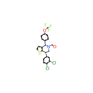 O=CN1CC(c2ccc(Cl)c(Cl)c2)c2sccc2C1c1ccc(OC(F)(F)F)cc1